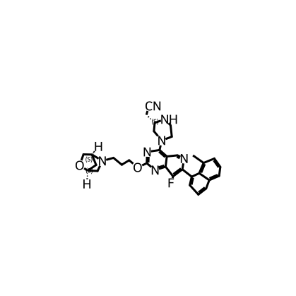 Cc1cccc2cccc(-c3ncc4c(N5CCN[C@@H](CC#N)C5)nc(OCCCN5C[C@@H]6C[C@H]5CO6)nc4c3F)c12